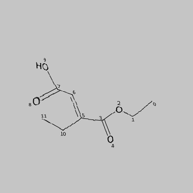 CCOC(=O)C(=CC(=O)O)CC